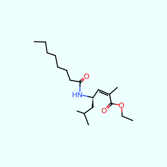 CCCCCCCC(=O)N[C@@H](C=C(C)C(=O)OCC)CC(C)C